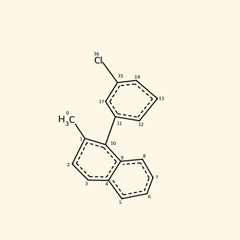 Cc1ccc2ccccc2c1-c1cccc(Cl)c1